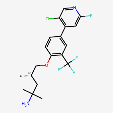 C[C@H](COc1ccc(-c2cc(F)ncc2Cl)cc1C(F)(F)F)CC(C)(C)N